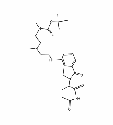 CN(CCNc1cccc2c1CN(C1CCC(=O)NC1=O)C2=O)CCN(C)C(=O)OC(C)(C)C